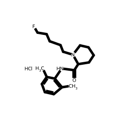 Cc1cccc(C)c1NC(=O)C1CCCCN1CCCCCF.Cl